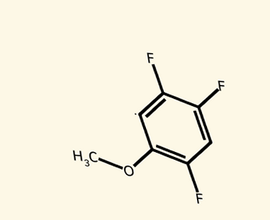 COc1[c]c(F)c(F)cc1F